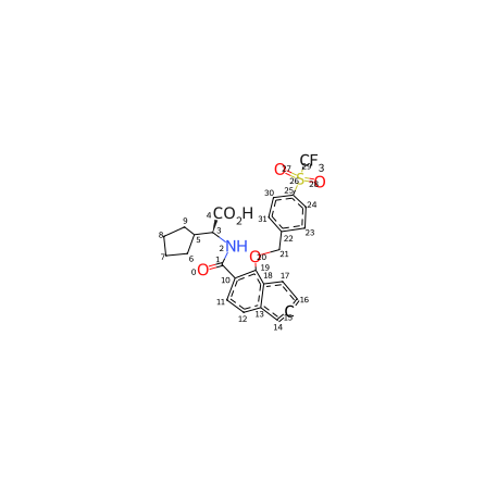 O=C(N[C@H](C(=O)O)C1CCCC1)c1ccc2ccccc2c1OCc1ccc(S(=O)(=O)C(F)(F)F)cc1